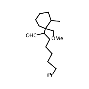 COCC1(C(C=O)CCCCCC(C)C)CCCCC1C